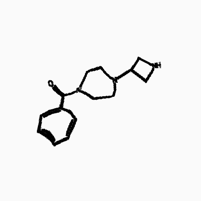 O=C(c1ccccc1)N1CCN(C2CNC2)CC1